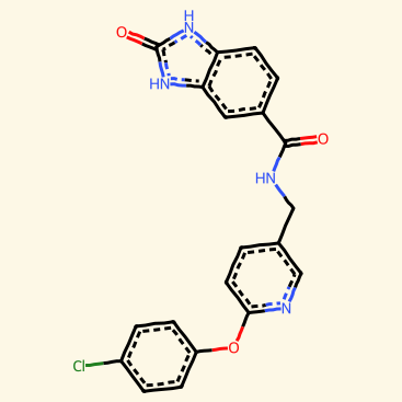 O=C(NCc1ccc(Oc2ccc(Cl)cc2)nc1)c1ccc2[nH]c(=O)[nH]c2c1